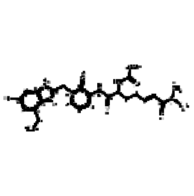 COC(=O)NC(CC/C=C/C(=O)N(C)C)C(=O)Nc1cccn(Cc2nc3c(CC(C)(C)C)cc(F)cc3[nH]2)c1=O